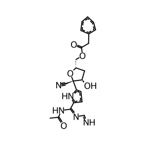 CC(=O)N/C(=N/C=N)c1ccc([C@]2(C#N)O[C@H](COC(=O)Cc3ccccc3)C[C@H]2O)[nH]1